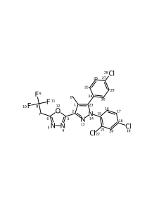 Cc1c(-c2nnc(CC(F)(F)F)o2)nn(-c2ccc(Cl)cc2Cl)c1-c1ccc(Cl)cc1